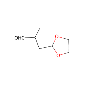 CC(C=O)CC1OCCO1